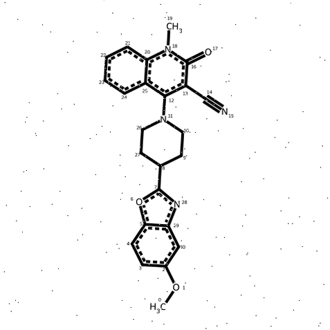 COc1ccc2oc(C3CCN(c4c(C#N)c(=O)n(C)c5ccccc45)CC3)nc2c1